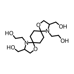 OCCN1C(CO)COC12CCC1(CC2)OCC(CO)N1CCO